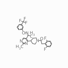 CC(=NOc1cccc(C(F)(F)F)c1)c1cnc(C)nc1C1CCN(C(=O)Cc2c(F)cccc2F)CC1